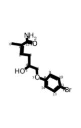 CC(=CCC(O)COc1ccc(Br)cc1)C(N)=O